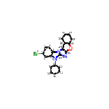 Brc1ccc2c(c1)n(-c1ccccc1)c1nc3oc4ccccc4c3n21